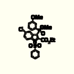 CCOC(=O)c1c(P(=O)(OC)c2cccc(OC)c2)c2cc(Cl)ccc2n1S(=O)(=O)c1ccccc1